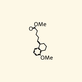 COC(=O)CCC/C=C1\CCCc2c(OC)cccc21